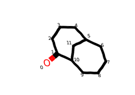 O=C1CCCC2CCCCC1C2